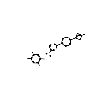 COc1cc(C(=O)O)c(F)cc1NS(=O)(=O)c1csc(-c2ccc(C34CC(C(F)(F)F)(C3)C4)cc2)n1